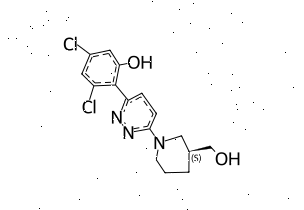 OC[C@H]1CCCN(c2ccc(-c3c(O)cc(Cl)cc3Cl)nn2)C1